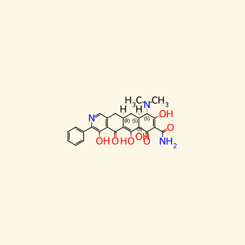 CN(C)[C@@H]1C(O)=C(C(N)=O)C(=O)[C@@]2(O)C(O)=C3C(=O)c4c(cnc(-c5ccccc5)c4O)C[C@H]3C[C@@H]12